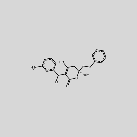 CCC[C@@]1(CCc2ccccc2)CC(O)=C(C(CC)c2cccc(N)c2)C(=O)O1